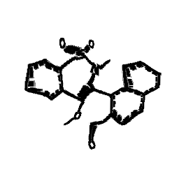 COC1=C(c2c(C=O)ccc3ccccc23)N(C)S(=O)(=O)c2ccccc21